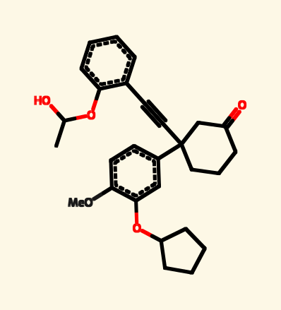 COc1ccc(C2(C#Cc3ccccc3OC(C)O)CCCC(=O)C2)cc1OC1CCCC1